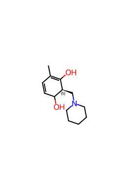 CC1=C(O)[C@@H](CN2CCCCC2)C(O)C=C1